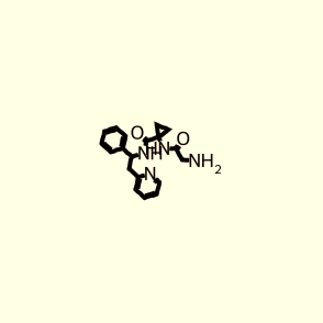 NCC(=O)NC1(C(=O)NC(Cc2ccccn2)c2ccccc2)CC1